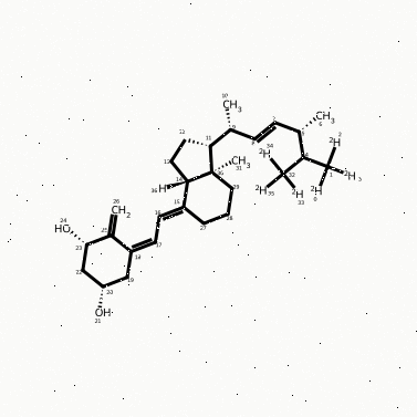 [2H]C([2H])([2H])C([C@@H](C)/C=C/[C@@H](C)[C@H]1CC[C@H]2/C(=C/C=C3/C[C@H](O)C[C@H](O)C3=C)CCC[C@]12C)C([2H])([2H])[2H]